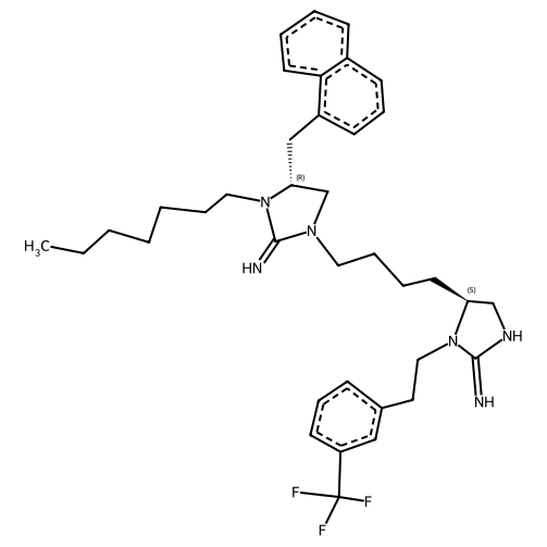 CCCCCCCN1C(=N)N(CCCC[C@H]2CNC(=N)N2CCc2cccc(C(F)(F)F)c2)C[C@H]1Cc1cccc2ccccc12